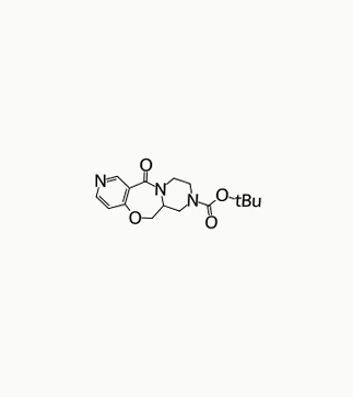 CC(C)(C)OC(=O)N1CCN2C(=O)c3cnccc3OCC2C1